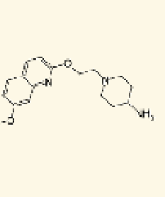 COc1ccc2ccc(OCCN3CCC(N)CC3)nc2c1